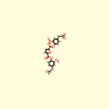 COc1cc(CC2CO2)ccc1OC(=O)c1ccc(C(=O)Oc2ccc(CC3CO3)cc2OC)o1